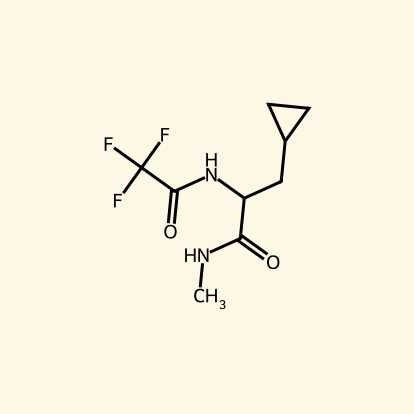 CNC(=O)C(CC1CC1)NC(=O)C(F)(F)F